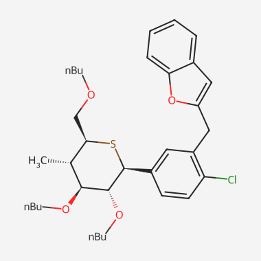 CCCCOC[C@H]1S[C@@H](c2ccc(Cl)c(Cc3cc4ccccc4o3)c2)[C@H](OCCCC)[C@@H](OCCCC)[C@@H]1C